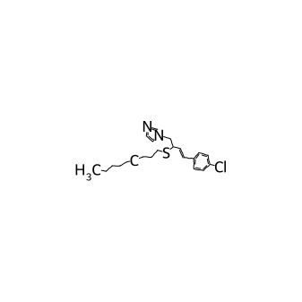 CCCCCCCCCSC(/C=C/c1ccc(Cl)cc1)Cn1ccnc1